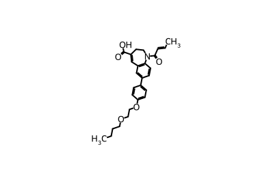 CC=CC(=O)N1CCC(C(=O)O)=Cc2cc(-c3ccc(OCCOCCCC)cc3)ccc21